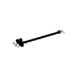 CC(c1ccccc1)c1cc(C(C)c2ccccc2)c(OCCOCCOCCOCCOCCOCCOCCOCCOCCOCCOCCOCCOCCOCCOCCOCCOS(C)(=O)=O)c(C(C)c2ccccc2)c1